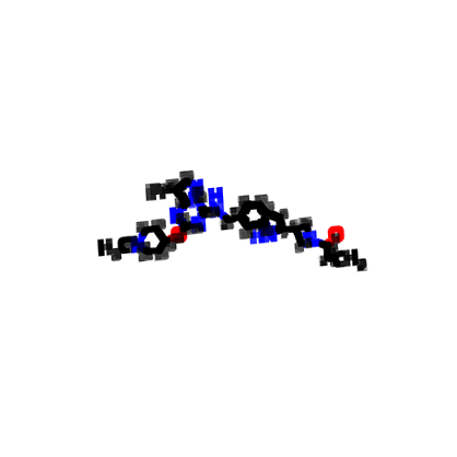 C=CC(=O)N1CC(c2cc3ccc(CNc4nc(OC5CCN(C)CC5)nc5c(C(C)C)cnn45)cc3[nH]2)C1